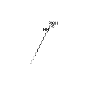 CCCCCCCCC=CCCCCCCCCCNCCS(=O)(=O)O